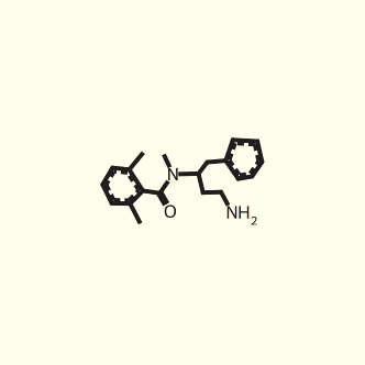 Cc1cccc(C)c1C(=O)N(C)C(CCN)Cc1ccccc1